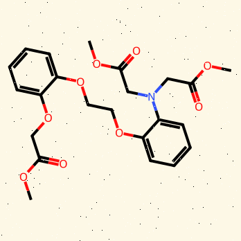 COC(=O)COc1ccccc1OCCOc1ccccc1N(CC(=O)OC)CC(=O)OC